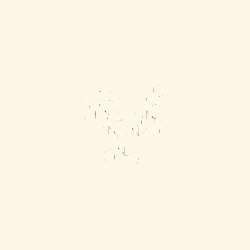 Cc1ccc(N(c2ccc(C)cc2)c2cc3c4c(c2)-n2c(C)c(C)c5c(N(c6ccc(C)c7ccccc67)c6ccc(C)c7ccccc67)ccc(c52)B4c2ccc(N(c4cc5ccccc5cc4C)c4cc5ccccc5cc4C)c4c(C)c(C)n-3c24)cc1